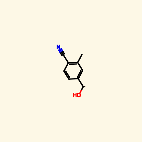 Cc1cc([CH]O)ccc1C#N